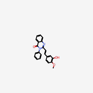 COc1ccc(/C=C/c2nc3ccccc3c(=O)n2-c2ccccc2)cc1O